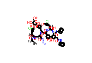 CC[C@H](CC(C)C)C(=O)N[C@H]1C(=O)C[C@@H](CC(N)=O)C(=O)N[C@H]2C(=O)C[C@H]3C(=O)N[C@H](C(=O)N[C@H](C(=O)CC4C5CC6CC(C5)CC4C6)c4cc(CC(=O)NC5C6CC7CC(C6)CC5C7)cc(O)c4-c4cc3ccc4O)[C@H](O)c3ccc(c(Cl)c3)Oc3cc2cc(c3OC2O[C@H](CO)[C@@H](O)[C@H](O)[C@H]2O)Oc2ccc(cc2Cl)[C@H]1O